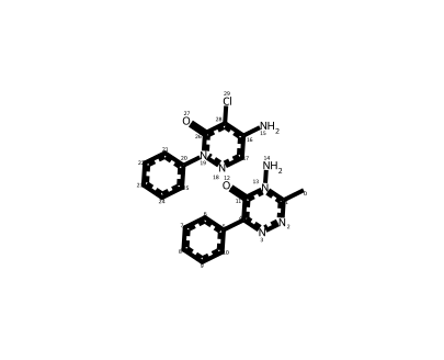 Cc1nnc(-c2ccccc2)c(=O)n1N.Nc1cnn(-c2ccccc2)c(=O)c1Cl